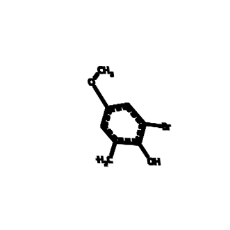 [CH2]c1cc(OC)cc(Br)c1O